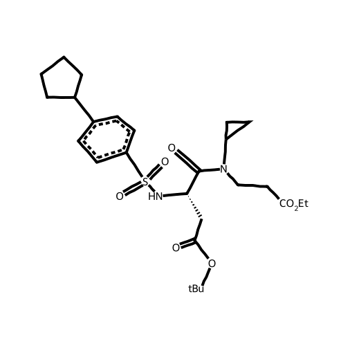 CCOC(=O)CCN(C(=O)[C@H](CC(=O)OC(C)(C)C)NS(=O)(=O)c1ccc(C2CCCC2)cc1)C1CC1